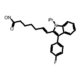 CC(C)n1c(/C=C/CCCCC(=O)N=O)c(-c2ccc(F)cc2)c2ccccc21